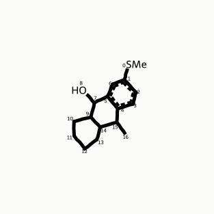 CSc1ccc2c(c1)C(O)C1CCCCC1C2C